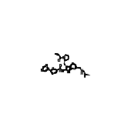 C=CC(=O)N1CCC[C@@H]1Cn1c(NC(=O)c2ccc(-n3cncn3)s2)nc2cc(CNCC(C)C)ccc21